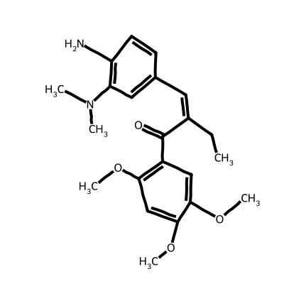 CCC(=Cc1ccc(N)c(N(C)C)c1)C(=O)c1cc(OC)c(OC)cc1OC